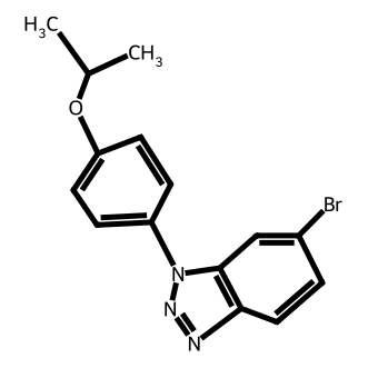 CC(C)Oc1ccc(-n2nnc3ccc(Br)cc32)cc1